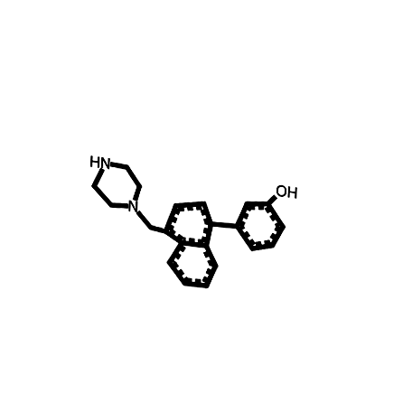 Oc1cccc(-c2ccc(CN3CCNCC3)c3ccccc23)c1